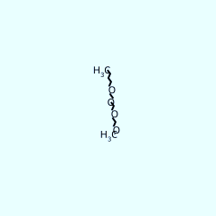 CCCCCOCCOCCOCCCOC